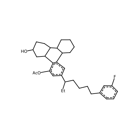 CCC(CCCCc1cccc(F)c1)c1cc(OC(C)=O)c2c(c1)C1CCCCC1C1CCC(O)CC21